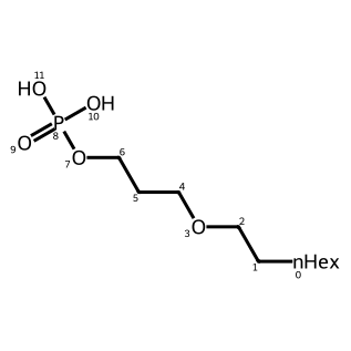 CCCCCCCCOCCCOP(=O)(O)O